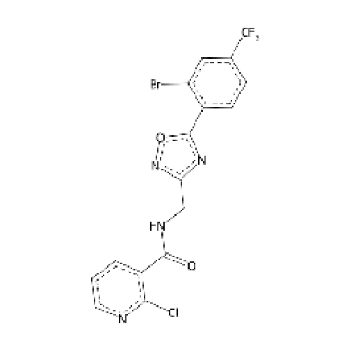 O=C(NCc1noc(-c2ccc(C(F)(F)F)cc2Br)n1)c1cccnc1Cl